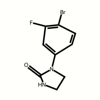 O=C1NCCN1c1ccc(Br)c(F)c1